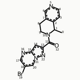 CC1c2ccncc2CCN1C(=O)c1cc2ncc(Br)cn2n1